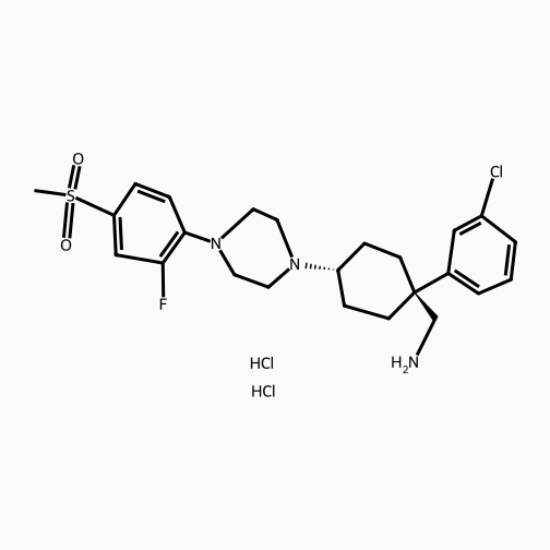 CS(=O)(=O)c1ccc(N2CCN([C@H]3CC[C@@](CN)(c4cccc(Cl)c4)CC3)CC2)c(F)c1.Cl.Cl